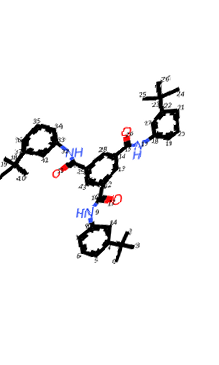 CC(C)(C)c1cccc(NC(=O)c2cc(C(=O)Nc3cccc(C(C)(C)C)c3)cc(C(=O)Nc3cccc(C(C)(C)C)c3)c2)c1